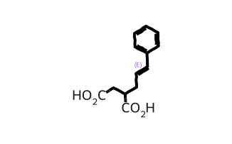 O=C(O)CC(C/C=C/c1ccccc1)C(=O)O